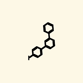 Ic1ccc(-c2cccc(-c3ccccc3)c2)cc1